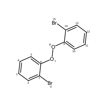 Brc1ccccc1OOc1ccccc1Br